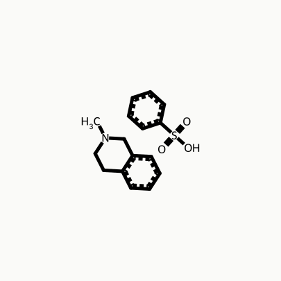 CN1CCc2ccccc2C1.O=S(=O)(O)c1ccccc1